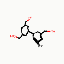 CCC1=CC(C2CC(CO)=CC(CO)C2)CC(CO)=C1